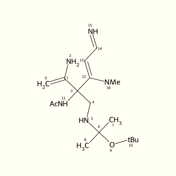 C=C(N)C(CNC(C)(C)OC(C)(C)C)(NC(C)=O)/C(=C/C=N)NC